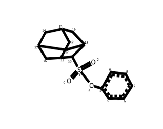 O=S(=O)(Oc1ccccc1)C1C2CC3CC(C2)CC1C3